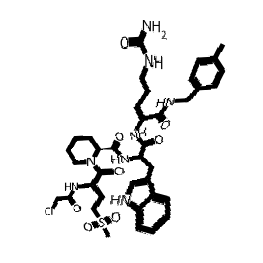 Cc1ccc(CNC(=O)C(CCCNC(N)=O)NC(=O)C(Cc2c[nH]c3ccccc23)NC(=O)[C@@H]2CCCCN2C(=O)C(CCS(C)(=O)=O)NC(=O)CCl)cc1